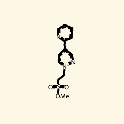 COS(=O)(=O)CC[n+]1ccc(-c2ccccn2)cn1